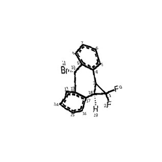 FC1(F)C2c3ccccc3[C@@H](Br)c3ccccc3[C@@H]21